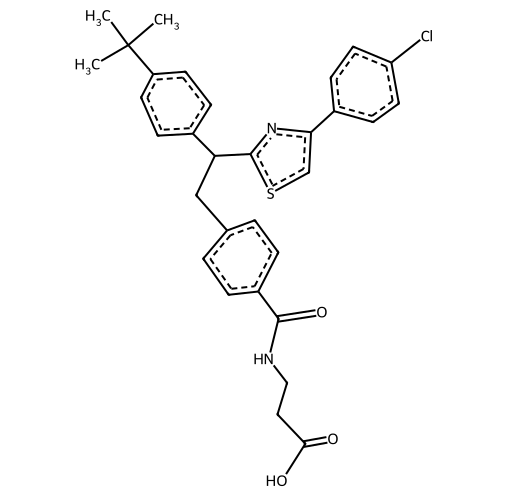 CC(C)(C)c1ccc(C(Cc2ccc(C(=O)NCCC(=O)O)cc2)c2nc(-c3ccc(Cl)cc3)cs2)cc1